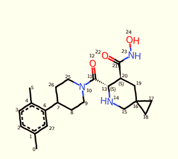 Cc1ccc(C)c(C2CCN(C(=O)[C@H]3NCC4(CC4)C[C@@H]3C(=O)NO)CC2)c1